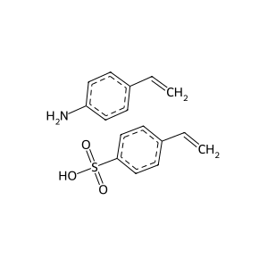 C=Cc1ccc(N)cc1.C=Cc1ccc(S(=O)(=O)O)cc1